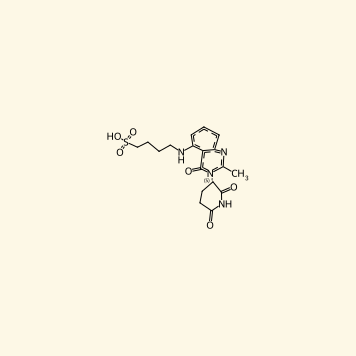 Cc1nc2cccc(NCCCCS(=O)(=O)O)c2c(=O)n1[C@H]1CCC(=O)NC1=O